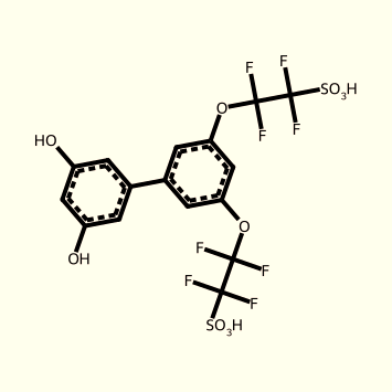 O=S(=O)(O)C(F)(F)C(F)(F)Oc1cc(OC(F)(F)C(F)(F)S(=O)(=O)O)cc(-c2cc(O)cc(O)c2)c1